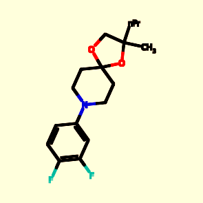 CCCC1(C)COC2(CCN(c3ccc(F)c(F)c3)CC2)O1